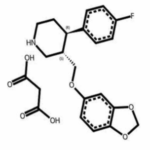 Fc1ccc([C@@H]2CCNC[C@H]2COc2ccc3c(c2)OCO3)cc1.O=C(O)CC(=O)O